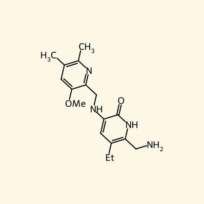 CCc1cc(NCc2nc(C)c(C)cc2OC)c(=O)[nH]c1CN